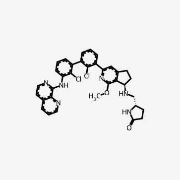 COc1nc(-c2cccc(-c3cccc(Nc4nccc5cccnc45)c3Cl)c2Cl)cc2c1[C@H](NC[C@@H]1CCC(=O)N1)CC2